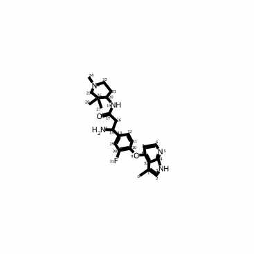 Cc1c[nH]c2nccc(Oc3ccc(C(N)CC(=O)NC4CCN(C)CC4(C)C)cc3F)c12